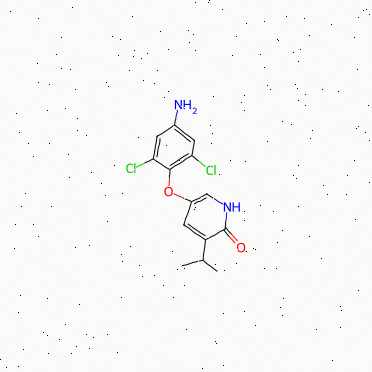 CC(C)c1cc(Oc2c(Cl)cc(N)cc2Cl)c[nH]c1=O